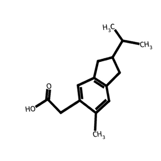 Cc1cc2c(cc1CC(=O)O)CC(C(C)C)C2